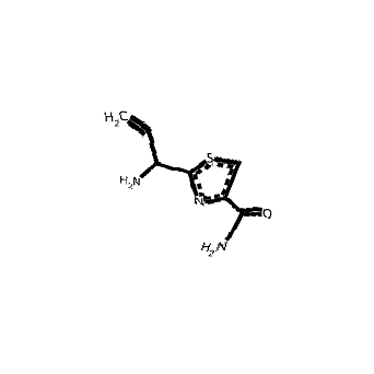 C=CC(N)c1nc(C(N)=O)cs1